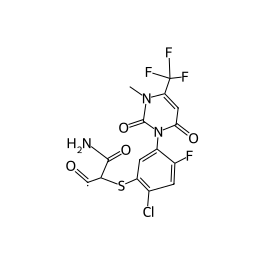 Cn1c(C(F)(F)F)cc(=O)n(-c2cc(SC([C]=O)C(N)=O)c(Cl)cc2F)c1=O